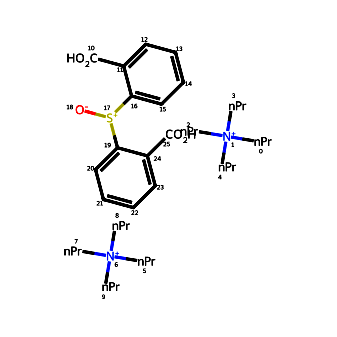 CCC[N+](CCC)(CCC)CCC.CCC[N+](CCC)(CCC)CCC.O=C(O)c1ccccc1[S+]([O-])c1ccccc1C(=O)O